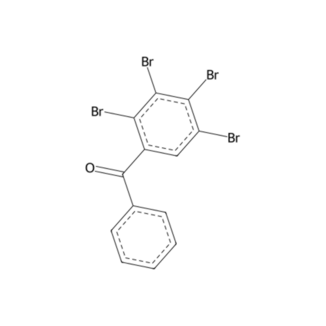 O=C(c1ccccc1)c1cc(Br)c(Br)c(Br)c1Br